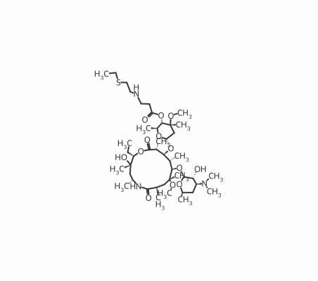 CCSCCNCCC(=O)O[C@H]1[C@H](C)O[C@@H](O[C@H]2[C@H](C)[C@@H](O[C@@H]3O[C@H](C)C[C@H](N(C)C)[C@H]3O)[C@](C)(OC)C[C@@H](C)C(=O)N[C@H](C)C[C@](C)(O)[C@@H](CC)OC(=O)[C@@H]2C)C[C@@]1(C)OC